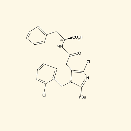 CCCCc1nc(Cl)c(CC(=O)N[C@@H](Cc2ccccc2)C(=O)O)n1Cc1ccccc1Cl